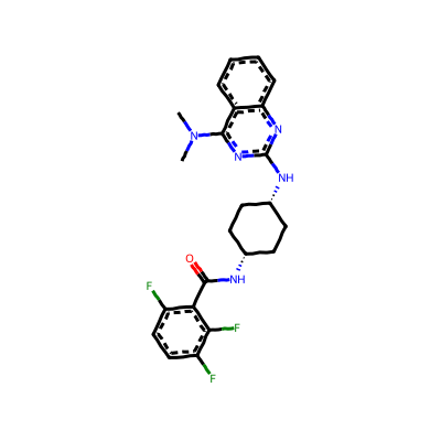 CN(C)c1nc(N[C@H]2CC[C@@H](NC(=O)c3c(F)ccc(F)c3F)CC2)nc2ccccc12